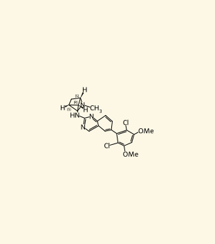 COc1cc(OC)c(Cl)c(-c2ccc3nc(N[C@@H]4[C@H]5C[C@@H]4N(C)C5)ncc3c2)c1Cl